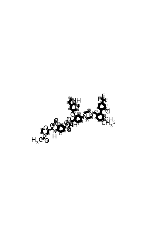 CC(=O)N1CCO[C@@H](CNc2ccc(S(=O)(=O)NC(=O)c3ccc(N4CCN(CC5=C(c6ccc(C(F)(F)F)cc6Cl)CC(C)(C)CC5)CC4)cc3Oc3cnc4[nH]ccc4c3)cc2[N+](=O)[O-])C1